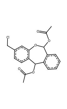 CC(=O)OC1Oc2cc(CCl)ccc2C(OC(C)=O)c2ccccc21